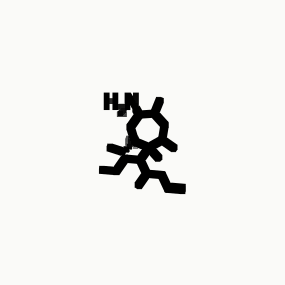 C=CCC(C)C(CCC)C1(C)C(C)CC(C)C(N)C[C@H]1CC